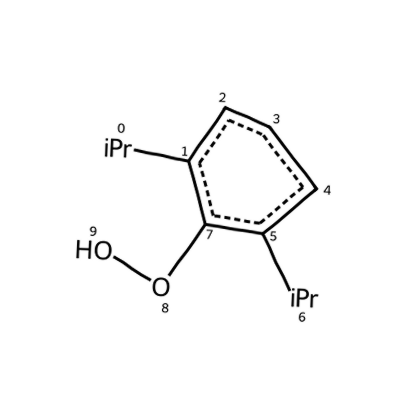 CC(C)c1cccc(C(C)C)c1OO